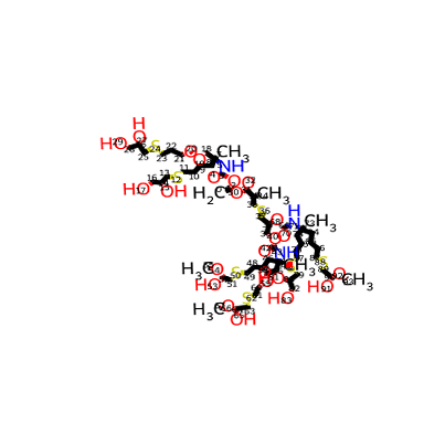 C=C(OC(=O)NC(C)(CCCCSCC(O)CO)COOCCCSCC(O)CO)OC(=O)C(C)CSCC(COC(=O)NC(C)(CCCCSCC(O)OC)CC(=O)OCCSCC(O)OC)OC(=O)NC(C)(CCCCSCC(O)CO)CCCCSCC(O)OC